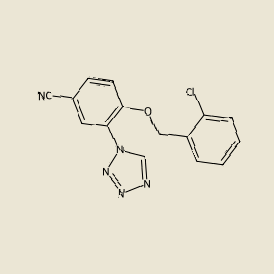 N#Cc1ccc(OCc2ccccc2Cl)c(-n2cnnn2)c1